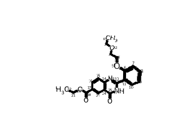 CCOCCOc1ccccc1-c1nc2ccc(C(=O)OCC)cc2c(=O)[nH]1